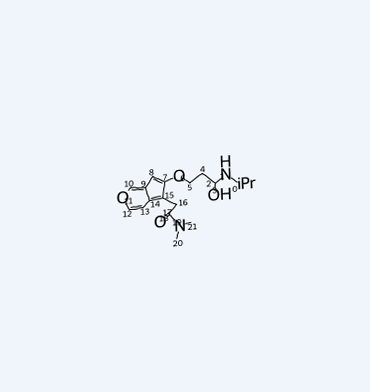 CC(C)NC(O)CCOc1cc2coccc-2c1CC(=O)N(C)C